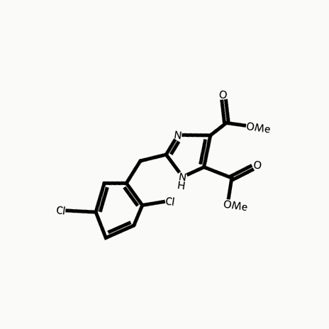 COC(=O)c1nc(Cc2cc(Cl)ccc2Cl)[nH]c1C(=O)OC